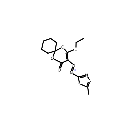 CCOC1=C(/N=N/c2nnc(C)s2)C(=O)OC2(CCCCC2)O1